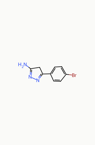 NC1=NN=C(c2ccc(Br)cc2)C1